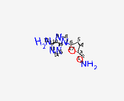 NOC[C@@H]1CC[C@H](n2cnc3c(N)ncnc32)O1